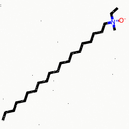 CCCCCCCCCCCCCCCCCCCC[N+](C)([O-])CC